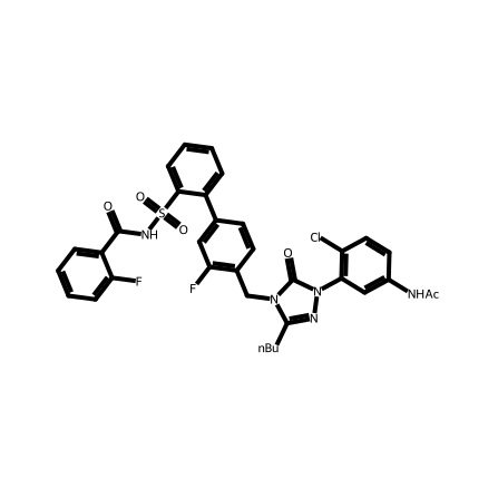 CCCCc1nn(-c2cc(NC(C)=O)ccc2Cl)c(=O)n1Cc1ccc(-c2ccccc2S(=O)(=O)NC(=O)c2ccccc2F)cc1F